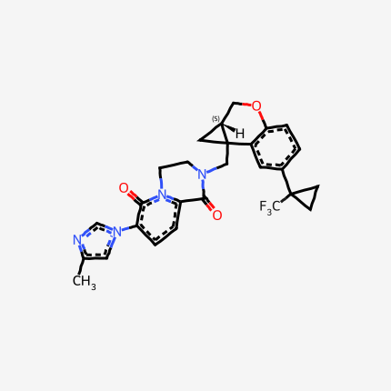 Cc1cn(-c2ccc3n(c2=O)CCN(CC24C[C@@H]2COc2ccc(C5(C(F)(F)F)CC5)cc24)C3=O)cn1